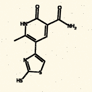 Cc1[nH]c(=O)c(C(N)=O)cc1-c1csc(S)n1